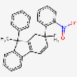 CC1(c2ccccc2[N+](=O)[O-])C=CC2=C(C1)C(C)(c1ccccc1)c1ccccc12